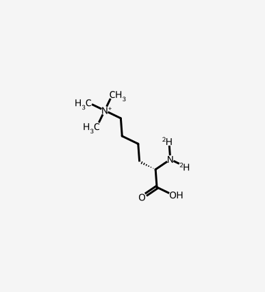 [2H]N([2H])[C@@H](CCCC[N+](C)(C)C)C(=O)O